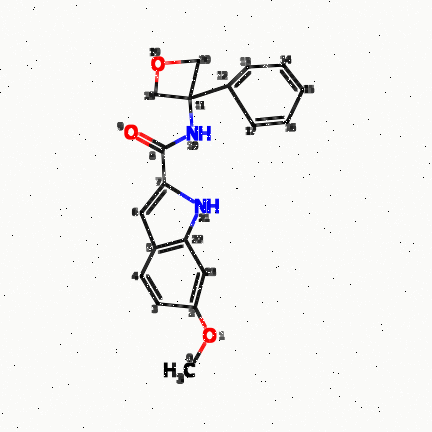 COc1ccc2cc(C(=O)NC3(c4ccccc4)COC3)[nH]c2c1